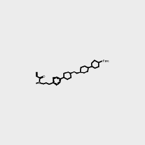 C=CC(=O)N(C)CCCc1ccc(C2CCC(CCC3CCC(C4CCC(CCCCC)CC4)CC3)CC2)cc1